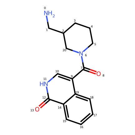 NCC1CCCN(C(=O)c2c[nH]c(=O)c3ccccc23)C1